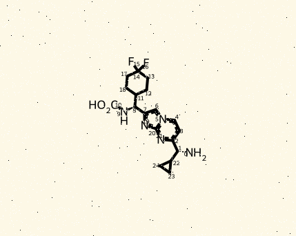 N[C@@H](c1ccn2cc([C@@H](NC(=O)O)C3CCC(F)(F)CC3)nc2n1)C1CC1